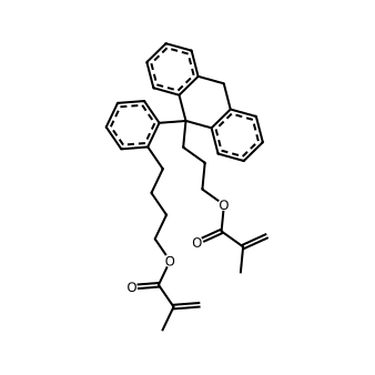 C=C(C)C(=O)OCCCCc1ccccc1C1(CCCOC(=O)C(=C)C)c2ccccc2Cc2ccccc21